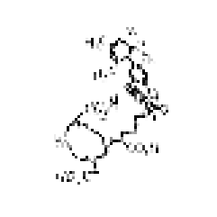 Cc1cc(C)c(-c2cc(C)c(OP(=O)(O)OCCCC(C(=O)O)N3CCN(CC(=O)O)CCNCCN(CC(=O)O)CC3)cc2C)c(C)c1